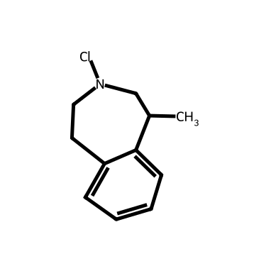 CC1CN(Cl)CCc2ccccc21